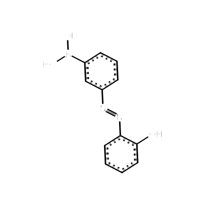 OB(O)c1cccc(/N=N/c2ccccc2O)c1